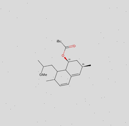 CCC(C)C(=O)O[C@H]1C[C@@H](C)C=C2C=CC(C)C(CC(C)OC)C21